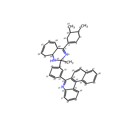 CC1CC=C(C2=NC(C)(c3cccc(-c4nc5ccccc5c5c4ccc4ccccc45)c3)NC3CC=CC=CC23)CC1C